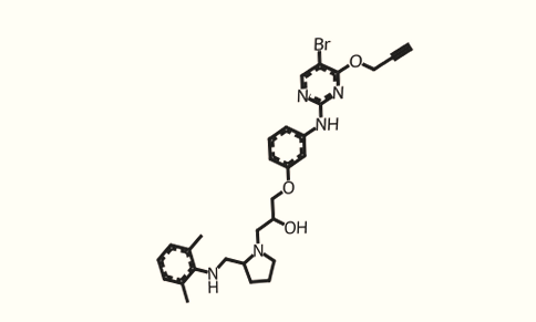 C#CCOc1nc(Nc2cccc(OCC(O)CN3CCCC3CNc3c(C)cccc3C)c2)ncc1Br